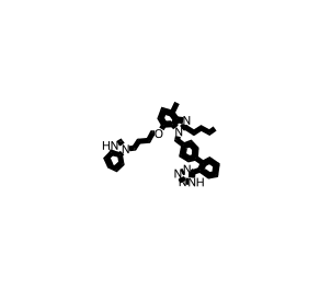 CCCCc1nc2c(C)ccc(OCCCCN3CNC4C=CC=CC43)c2n1Cc1ccc(-c2ccccc2-c2nnn[nH]2)cc1